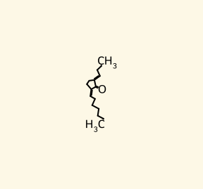 CCC/C=C1\CC/C(=C/CCCCCC)C1=O